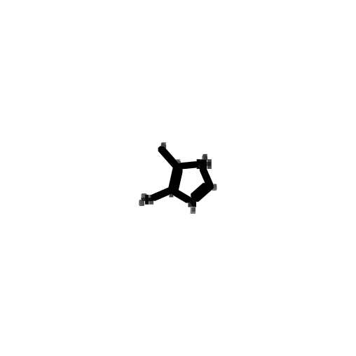 [2H]c1nc[nH]c1C